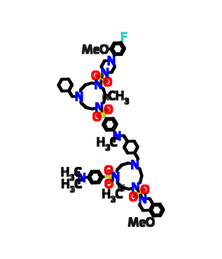 COc1cc(F)ccc1N1CCN(S(=O)(=O)N2CCCN(CC3CCCCC3)CCCN(S(=O)(=O)c3ccc(N(C)CC4CCC(CN5CCCN(S(=O)(=O)c6ccc(N(C)C)cc6)C[C@H](C)CN(S(=O)(=O)N6CCc7c(cccc7OC)C6)CCC5)CC4)cc3)C[C@H](C)C2)CC1